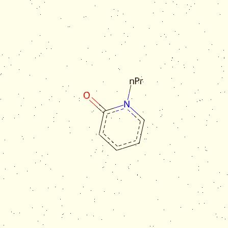 CCCn1ccc[c]c1=O